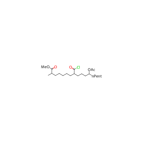 CCCCCC(CCCC(CCCCCC(C)C(=O)OC)C(=O)Cl)OC(C)=O